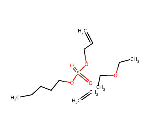 C=C.C=CCOS(=O)(=O)OCCCCC.CCOCC